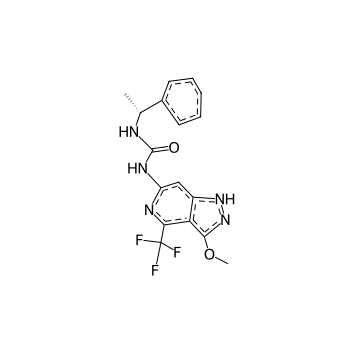 COc1n[nH]c2cc(NC(=O)N[C@H](C)c3ccccc3)nc(C(F)(F)F)c12